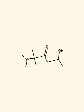 CC(O)OC(=O)[C](C)(C)[Sb]([CH3])[CH3]